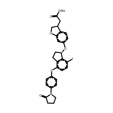 COC(=O)CC1COc2cc(O[C@@H]3CCc4c(Oc5ccc(N6CCCC6=O)cc5)ccc(F)c43)ccc21